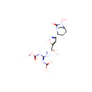 CSO[C@H](CN/C(=N\C(=O)OC(C)(C)C)NC(=O)OC(C)(C)C)c1cc([C@@H]2CC[C@H]3CN2C(=O)N3O)no1